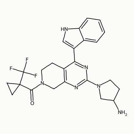 NC1CCN(c2nc3c(c(-c4c[nH]c5ccccc45)n2)CCN(C(=O)C2(C(F)(F)F)CC2)C3)C1